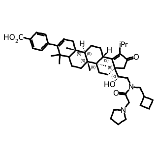 CC(C)C1=C2[C@H]3CC[C@@H]4[C@@]5(C)CC=C(c6ccc(C(=O)O)cc6)C(C)(C)C5CC[C@@]4(C)[C@]3(C)CC[C@@]2([C@@H](O)CN(CC2CCC2)C(=O)CN2CCCC2)CC1=O